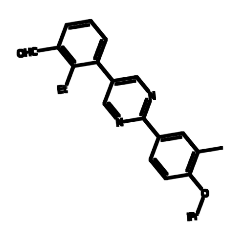 CCc1c(C=O)cccc1-c1cnc(-c2ccc(OC(C)C)c(C)c2)nc1